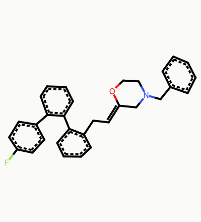 Fc1ccc(-c2ccccc2-c2ccccc2CC=C2CN(Cc3ccccc3)CCO2)cc1